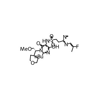 C=N/C(CCS(=O)(=O)Nc1c(O)nc(CCCC)n([C@@H](COC)C2CCOCC2)c1=O)=N\C=C(/C)F